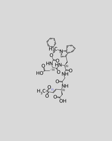 Cn1cc(C[C@H](NC(=O)[C@H](CC(=O)O)NC(=O)OCc2ccccc2)C(=O)NCC(=O)N[C@H](/C=C/S(C)(=O)=O)CC(=O)O)c2ccccc21